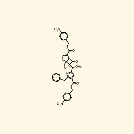 CC(=O)OC(c1cn(C(=O)OCc2ccc([N+](=O)[O-])cc2)c(Cc2ccccc2)n1)[C@]1(Br)C(=O)N2C(C(=O)OCc3ccc([N+](=O)[O-])cc3)=CS[C@H]21